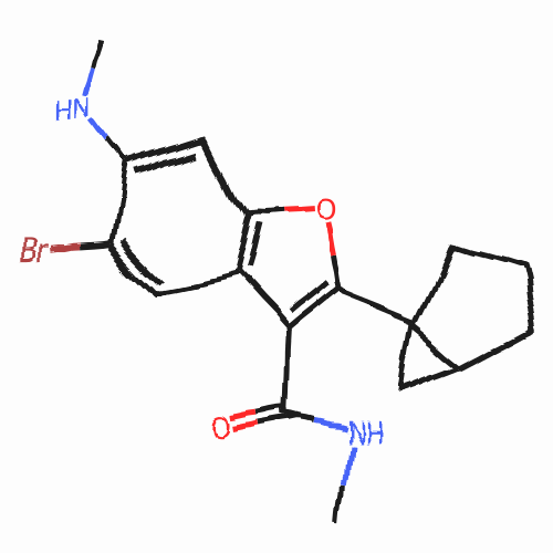 CNC(=O)c1c(C23CCCC2C3)oc2cc(NC)c(Br)cc12